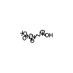 CC(C)(C)OC(=O)N1CCN(CCCN2CCC[C@H]2CO)C(=O)C1